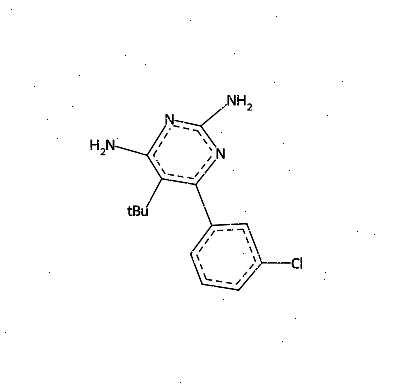 CC(C)(C)c1c(N)nc(N)nc1-c1cccc(Cl)c1